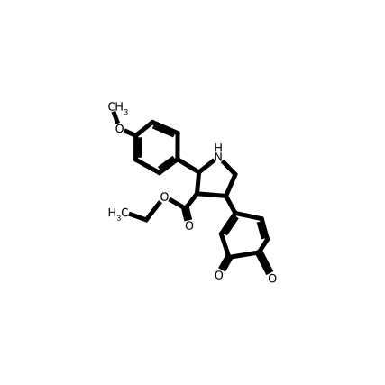 CCOC(=O)C1C(C2=CC(=O)C(=O)C=C2)CNC1c1ccc(OC)cc1